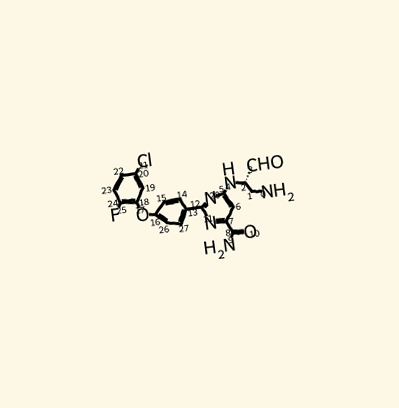 NC[C@@H](C=O)Nc1cc(C(N)=O)nc(-c2ccc(Oc3cc(Cl)ccc3F)cc2)n1